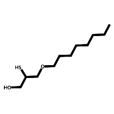 CCCCCCCCOCC(S)CO